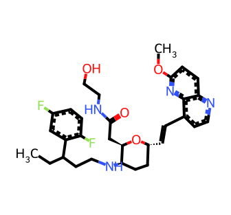 CCC(CCN[C@@H]1CC[C@@H](/C=C/c2ccnc3ccc(OC)nc23)O[C@@H]1CC(=O)NCCO)c1cc(F)ccc1F